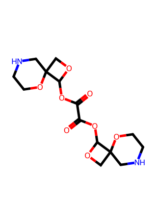 O=C(OC1OCC12CNCCO2)C(=O)OC1OCC12CNCCO2